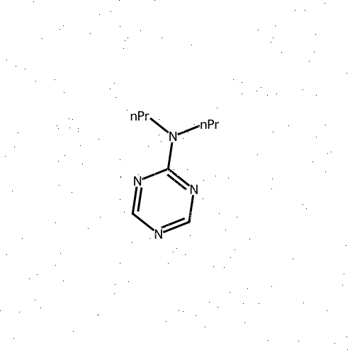 CCCN(CCC)c1ncncn1